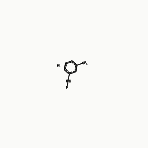 I.[F][Mg][c]1cccc(C(F)(F)F)c1